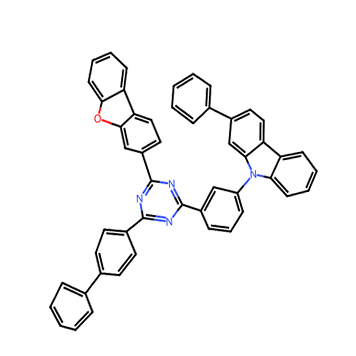 c1ccc(-c2ccc(-c3nc(-c4cccc(-n5c6ccccc6c6ccc(-c7ccccc7)cc65)c4)nc(-c4ccc5c(c4)oc4ccccc45)n3)cc2)cc1